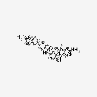 CC(Sc1cccc(-c2ccc(C(=O)Nc3ccc(Cl)c(N4Cc5cnc(N)nc5N(C)C4=O)c3)cc2)c1)C(N)=O